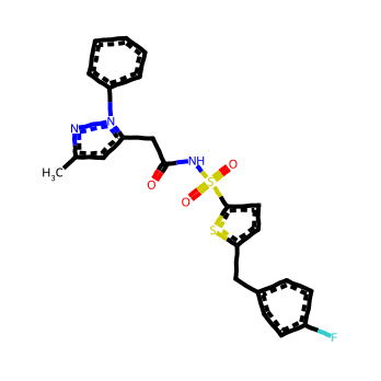 Cc1cc(CC(=O)NS(=O)(=O)c2ccc(Cc3ccc(F)cc3)s2)n(-c2ccccc2)n1